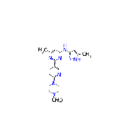 Cc1cc(Nc2cc(C)[nH]n2)nc(-c2ccc(N3CCN(C=O)CC3)nc2)n1